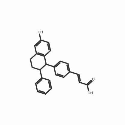 O=C(O)C=Cc1ccc(C2c3ccc(O)cc3CCC2c2ccccc2)cc1